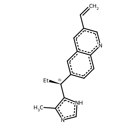 C=Cc1cnc2ccc([C@H](CC)c3[nH]cnc3C)cc2c1